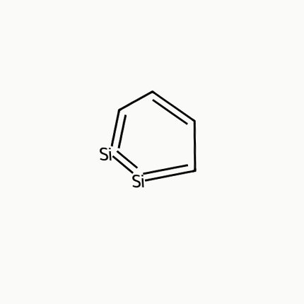 C1=CC=[Si]=[Si]=C1